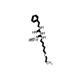 CCCCCCCCCCNC(=N)NC(=N)NCCc1ccccc1.Cl.Cl